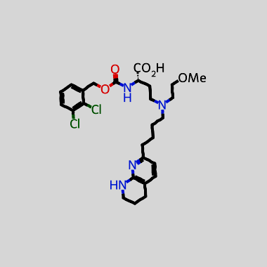 COCCN(CCCCc1ccc2c(n1)NCCC2)CC[C@H](NC(=O)OCc1cccc(Cl)c1Cl)C(=O)O